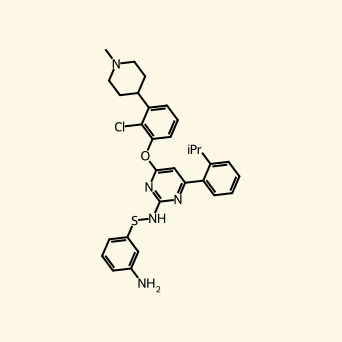 CC(C)c1ccccc1-c1cc(Oc2cccc(C3CCN(C)CC3)c2Cl)nc(NSc2cccc(N)c2)n1